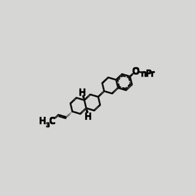 CC=C[C@@H]1CC[C@@H]2CC(C3CCc4cc(OCCC)ccc4C3)CC[C@@H]2C1